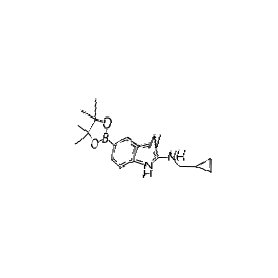 CC1(C)OB(c2ccc3[nH]c(NCC4CC4)nc3c2)OC1(C)C